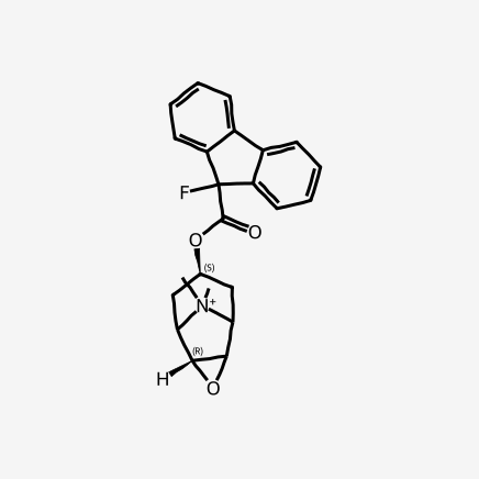 C[N+]1(C)C2C[C@H](OC(=O)C3(F)c4ccccc4-c4ccccc43)CC1[C@H]1OC21